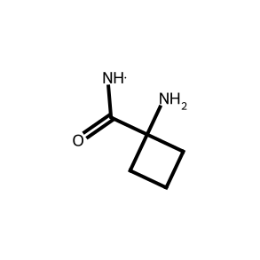 [NH]C(=O)C1(N)CCC1